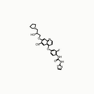 [C-]#[N+]c1cc2c(Oc3ccc(NC(=O)Nc4nccs4)c(F)c3)ccnc2cc1OCC(O)CN1CCCC1